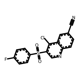 N#Cc1ccc2ncc(S(=O)(=O)c3ccc(F)cc3)c(Cl)c2c1